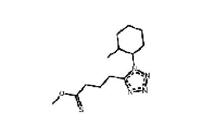 COC(=S)CCCc1nnnn1C1CCCCC1C